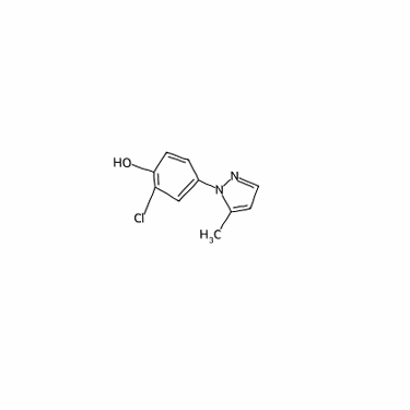 Cc1ccnn1-c1ccc(O)c(Cl)c1